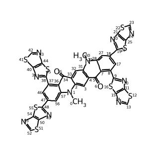 Cn1c2cc3c(=O)c4c(-c5nc6scnc6s5)cc(-c5nc6scnc6s5)cc4n(C)c3cc2c(=O)c2c(-c3nc4scnc4s3)cc(-c3nc4scnc4s3)cc21